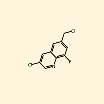 Fc1cc(CCl)cc2cc(Cl)cnc12